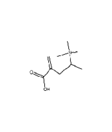 C=C(CC(C)[Si](C)(C)C)C(=O)O